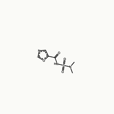 CN(C)S(=O)(=O)NC(=O)c1cn[c]o1